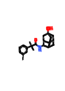 Cc1cccc(C(C)(C)C(=O)NC2C3CC4CC2CC(O)(C4)C3)c1